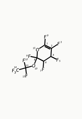 FC1=C(F)C(F)C(F)C(F)(OC(F)(F)C(F)(F)F)O1